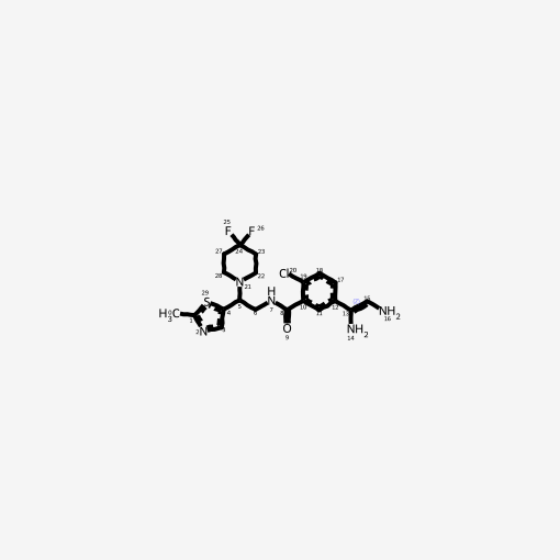 Cc1ncc(C(CNC(=O)c2cc(/C(N)=C/N)ccc2Cl)N2CCC(F)(F)CC2)s1